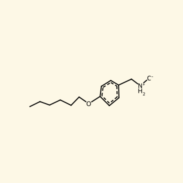 [CH2-][NH2+]Cc1ccc(OCCCCCC)cc1